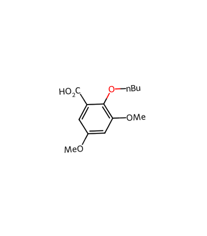 CCCCOc1c(OC)cc(OC)cc1C(=O)O